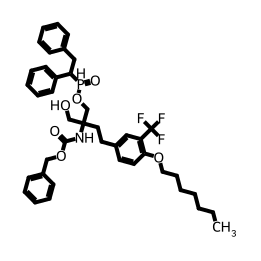 CCCCCCCOc1ccc(CCC(CO)(CO[PH](=O)C(Cc2ccccc2)c2ccccc2)NC(=O)OCc2ccccc2)cc1C(F)(F)F